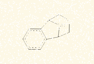 c1ccc2c(c1)C1COCC2N1